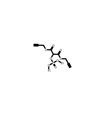 C#CCOC(=O)C(OP(=O)(OCC)OCC)C(=O)OCC#C